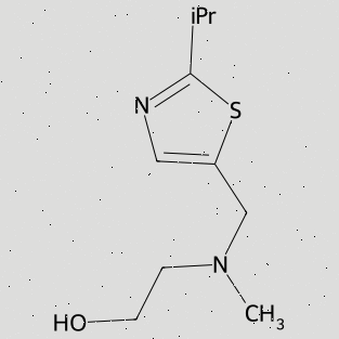 CC(C)c1ncc(CN(C)CCO)s1